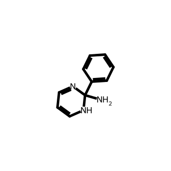 NC1(c2ccccc2)N=CC=CN1